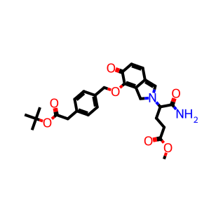 COC(=O)CCC(C(N)=O)N1C=C2C=CC(=O)C(OCc3ccc(CC(=O)OC(C)(C)C)cc3)=C2C1